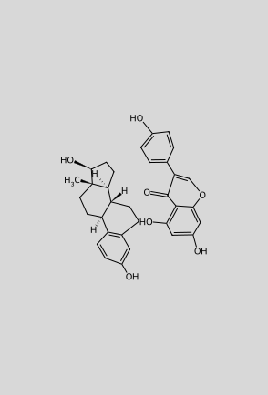 C[C@]12CC[C@@H]3c4ccc(O)cc4CC[C@H]3[C@@H]1CC[C@@H]2O.O=c1c(-c2ccc(O)cc2)coc2cc(O)cc(O)c12